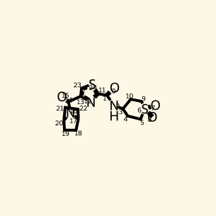 O=C(NC1CCS(=O)(=O)CC1)c1nc(C(=O)N2C3CCC2CC3)cs1